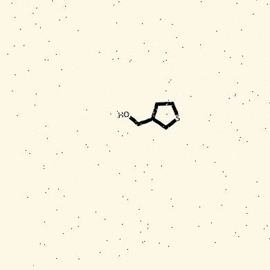 OCC1[CH]SCC1